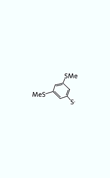 CSc1cc([S])cc(SC)c1